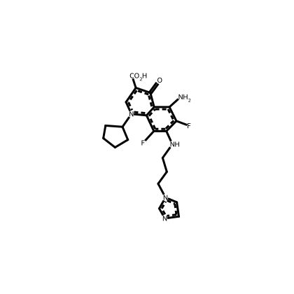 Nc1c(F)c(NCCCn2ccnc2)c(F)c2c1c(=O)c(C(=O)O)cn2C1CCCC1